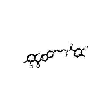 Cc1ccc(C(=O)NCCCN2CC3CN(C(=O)c4c(F)ccc(C)c4Cl)CC3C2)cc1Cl